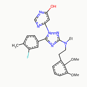 CCN(CCc1cccc(OC)c1OC)c1nc(-c2ccc(C)c(F)c2)n(-c2cc(O)ncn2)n1